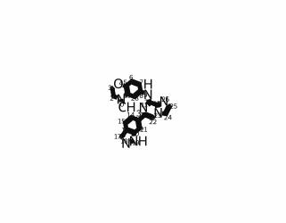 CN1CCOc2ccc(Nc3nc(-c4ccc5cn[nH]c5c4)cn4ccnc34)cc21